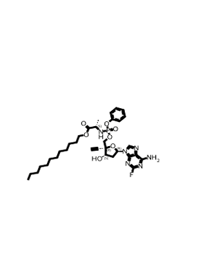 C#C[C@]1(COP(=O)(N[C@@H](C)C(=O)OCCCCCCCCCCCC)Oc2ccccc2)O[C@@H](n2cnc3c(N)nc(F)nc32)C[C@@H]1O